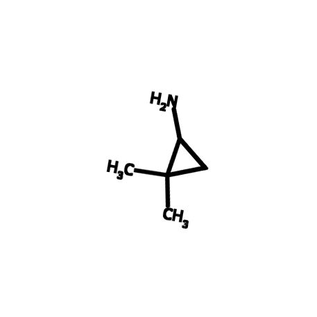 CC1(C)CC1N